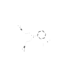 N#CCCN(CCC#N)c1cccc(C(F)(F)F)c1